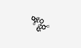 C[C@@H]1CCCN(C(=O)c2cc(Cl)ccc2-c2ncccn2)[C@@H]1CN1C(=O)c2ccccc2C1=O